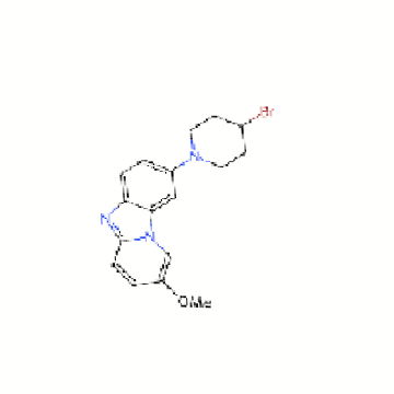 COc1ccc2nc3ccc(N4CCC(Br)CC4)cc3n2c1